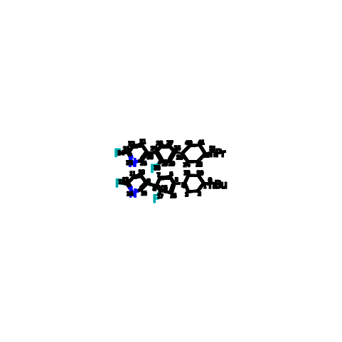 CCCC[C@H]1CC[C@H](c2ccc(-c3ccc(F)nc3)c(F)c2)CC1.CCC[C@H]1CC[C@H](c2ccc(-c3ccc(F)nc3)c(F)c2)CC1